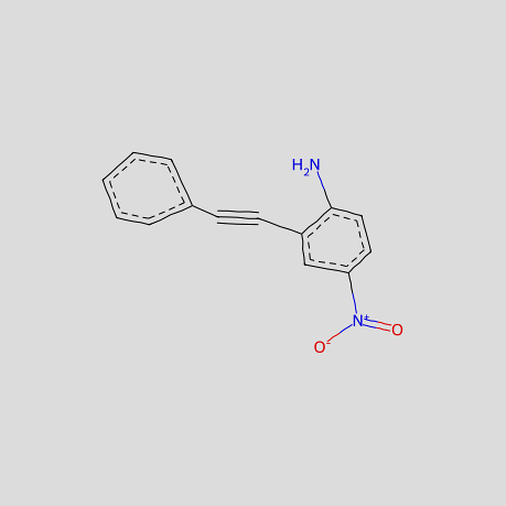 Nc1ccc([N+](=O)[O-])cc1C#Cc1ccccc1